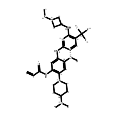 C=CC(=O)Nc1cc(Nc2ncc(C(F)(F)F)c(NC3CN(SC)C3)n2)c(OC)cc1N1CCC(N(C)C)CC1